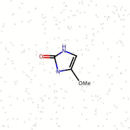 COC1=CNC(=O)[N]1